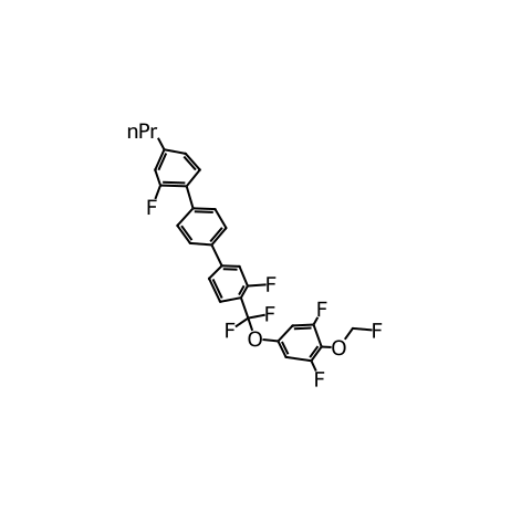 CCCc1ccc(-c2ccc(-c3ccc(C(F)(F)Oc4cc(F)c(OCF)c(F)c4)c(F)c3)cc2)c(F)c1